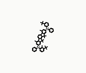 Cc1cc(N(c2ccccc2)c2cccc(C(C)(C)C)c2)cc2c1-c1ccc3c(c1C2(C)C)C(C)(C)c1cc(N(c2ccccc2)c2cccc(C(C)(C)C)c2C)cc(C)c1-3